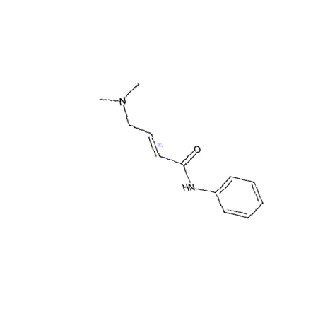 CN(C)C/C=C/C(=O)Nc1ccccc1